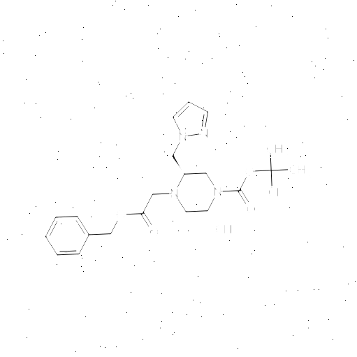 C[C@@H]1CN(CC(=O)OCc2ccccc2)[C@@H](Cn2cccn2)CN1C(=O)OC(C)(C)C